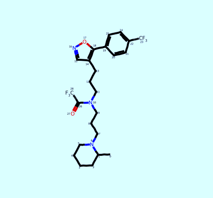 CC1CCCCN1CCCN(CCCc1cnoc1-c1ccc(C(F)(F)F)cc1)C(=O)C(F)(F)F